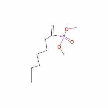 C=C(CCCCCC)P(=O)(OC)OC